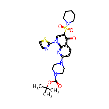 CC(C)(C)OC(=O)N1CCN(c2ccc3c(=O)c(S(=O)(=O)N4CCCCC4)cn(-c4nccs4)c3n2)CC1